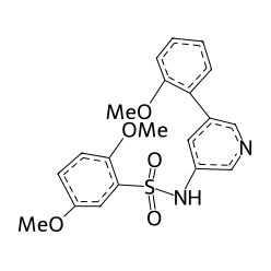 COc1ccc(OC)c(S(=O)(=O)Nc2cncc(-c3ccccc3OC)c2)c1